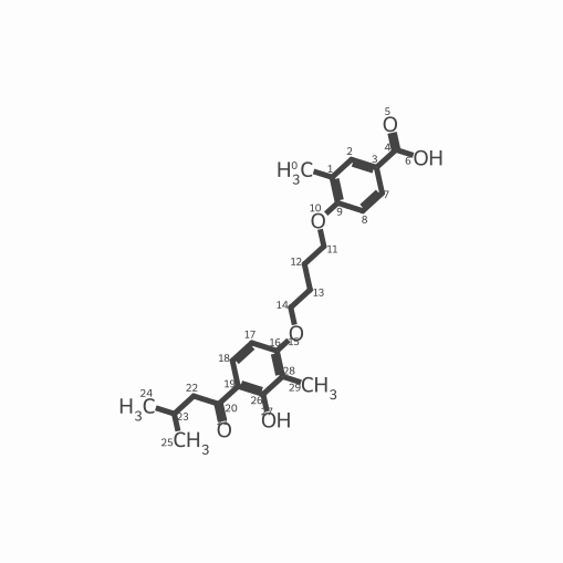 Cc1cc(C(=O)O)ccc1OCCCCOc1ccc(C(=O)CC(C)C)c(O)c1C